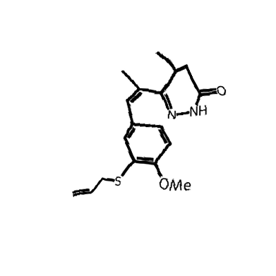 C=CCSc1cc(C=C(C)C2=NNC(=O)CC2C)ccc1OC